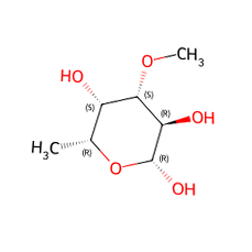 CO[C@@H]1[C@@H](O)[C@H](O)O[C@H](C)[C@@H]1O